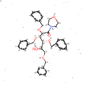 O=C([C@H](OCc1ccccc1)[C@@H](OCc1ccccc1)[C@H](OCc1ccccc1)C(O)COCc1ccccc1)N1CCOCC1